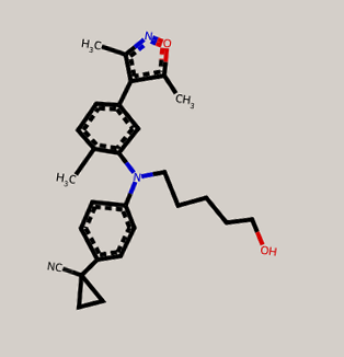 Cc1ccc(-c2c(C)noc2C)cc1N(CCCCCO)c1ccc(C2(C#N)CC2)cc1